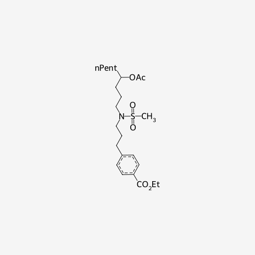 CCCCCC(CCCN(CCCc1ccc(C(=O)OCC)cc1)S(C)(=O)=O)OC(C)=O